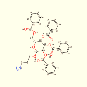 NCCCOC1O[C@H](COC(=O)c2ccccc2)[C@H](OC(=O)c2ccccc2)[C@H](OC(=O)c2ccccc2)[C@H]1OC(=O)c1ccccc1